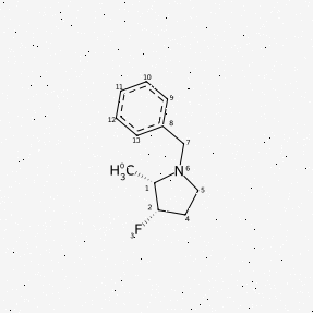 C[C@H]1[C@@H](F)CCN1Cc1ccccc1